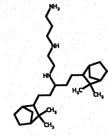 CC1(C)C2CCC(C2)C1CCC(CCC1C2CCC(C2)C1(C)C)NCCNCCCN